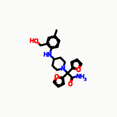 Cc1ccc(NC2CCN(C(C(N)=O)(c3ccco3)c3ccco3)CC2)c(CO)c1